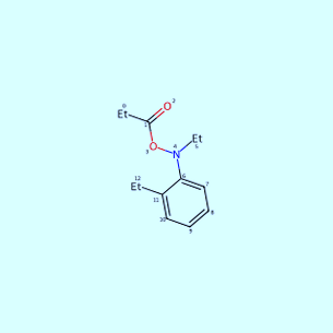 CCC(=O)ON(CC)c1ccccc1CC